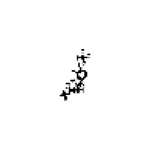 Cn1c(NC(=O)CC(C)(C)C)nc2ccc(OCC(F)(F)F)c(F)c21